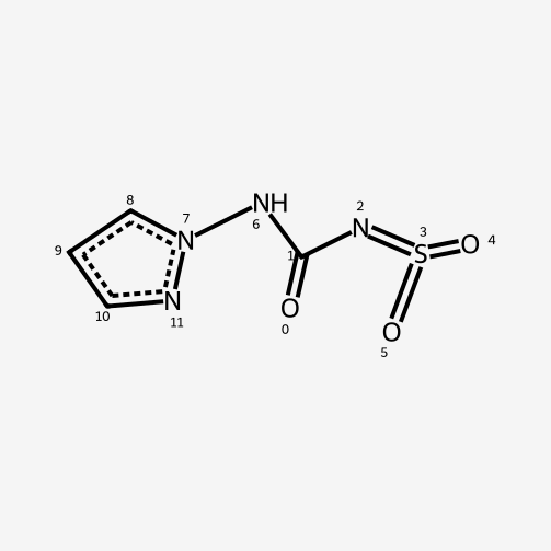 O=C(N=S(=O)=O)Nn1cccn1